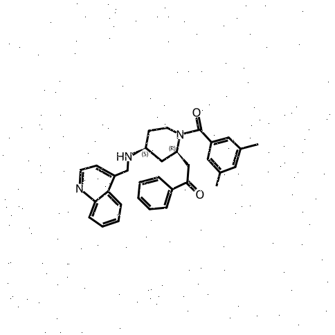 Cc1cc(C)cc(C(=O)N2CC[C@H](NCc3ccnc4ccccc34)C[C@@H]2CC(=O)c2ccccc2)c1